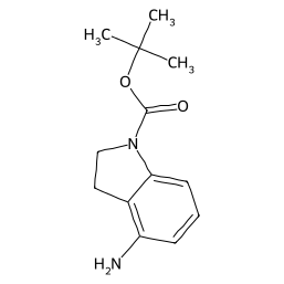 CC(C)(C)OC(=O)N1CCc2c(N)cccc21